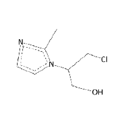 Cc1nccn1C(CO)CCl